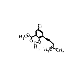 COC(=O)c1cc(Cl)cc(C#CCN(C)C)c1OC